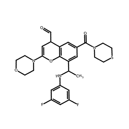 CC(Nc1cc(F)cc(F)c1)c1cc(C(=O)N2CCSCC2)cc2c1OC(N1CCOCC1)=CC2C=O